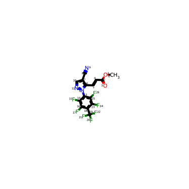 COC(=O)/C=C/c1c(C#N)cnn1-c1c(F)c(F)c(C(F)(F)F)c(F)c1F